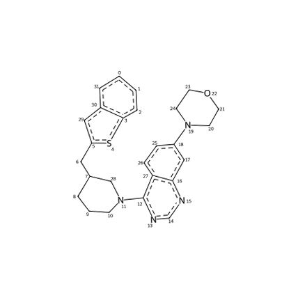 c1ccc2sc(CC3CCCN(c4ncnc5cc(N6CCOCC6)ccc45)C3)cc2c1